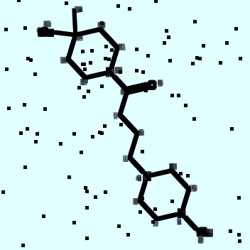 CC(C)(C)N1CCN(CCCC(=O)N2CCC(C)(C(C)(C)C)CC2)CC1